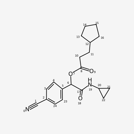 N#Cc1ccc(C(OC(=O)CCC2CCCC2)C(=O)NC2CC2)cc1